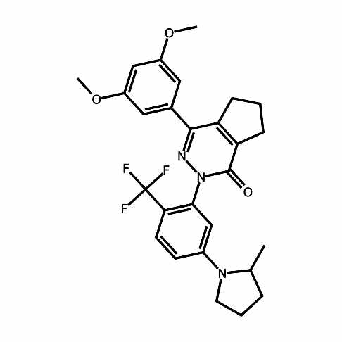 COc1cc(OC)cc(-c2nn(-c3cc(N4CCCC4C)ccc3C(F)(F)F)c(=O)c3c2CCC3)c1